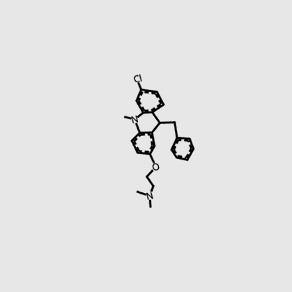 CN(C)CCOc1ccc2c(c1)C(Cc1ccccc1)c1ccc(Cl)cc1N2C